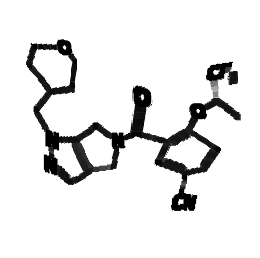 C[C@H](Oc1ccc(C#N)cc1C(=O)N1Cc2cnn(CC3CCOCC3)c2C1)C(F)(F)F